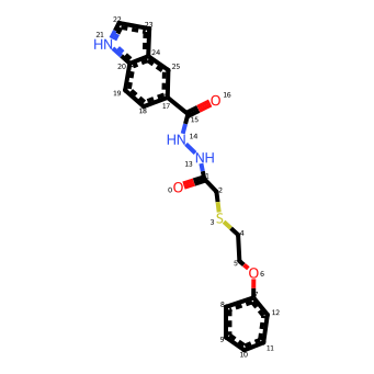 O=C(CSCCOc1ccccc1)NNC(=O)c1ccc2[nH]ccc2c1